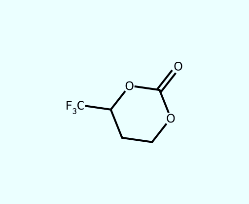 O=C1OCCC(C(F)(F)F)O1